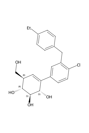 CCc1ccc(Cc2cc(C3=C[C@H](CO)[C@@H](O)[C@H](O)[C@H]3O)ccc2Cl)cc1